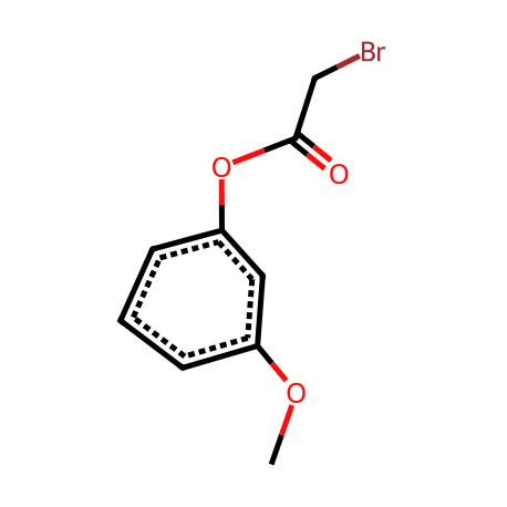 COc1cccc(OC(=O)CBr)c1